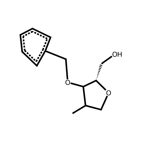 CC1CO[C@@H](CO)C1OCc1ccccc1